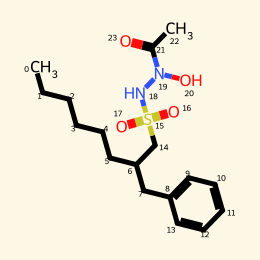 CCCCCCC(Cc1ccccc1)CS(=O)(=O)NN(O)C(C)=O